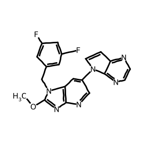 COc1nc2ncc(-n3ccc4nccnc43)cc2n1Cc1cc(F)cc(F)c1